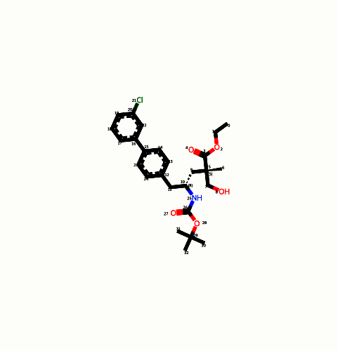 CCOC(=O)[C@](C)(CO)C[C@@H](Cc1ccc(-c2cccc(Cl)c2)cc1)NC(=O)OC(C)(C)C